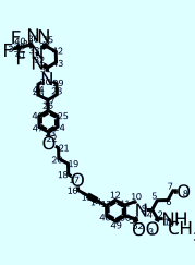 CNC(=O)C(CCC=O)N1Cc2cc(C#CCOCCCCOc3ccc(C4CCN(C5=Nn6c(nnc6C(F)(F)F)CC5)CC4)cc3)ccc2C1=O